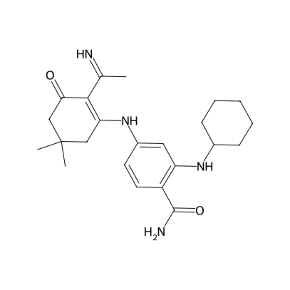 CC(=N)C1=C(Nc2ccc(C(N)=O)c(NC3CCCCC3)c2)CC(C)(C)CC1=O